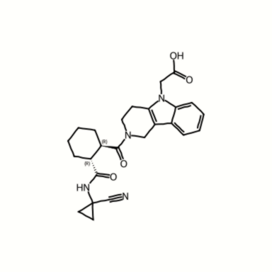 N#CC1(NC(=O)[C@@H]2CCCC[C@H]2C(=O)N2CCc3c(c4ccccc4n3CC(=O)O)C2)CC1